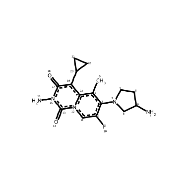 Cc1c(N2CCC(N)C2)c(F)cn2c(=O)n(N)c(=O)c(C3CC3)c12